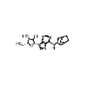 CN1C2CCC1CC(Nc1ncnc3c1ncn3[C@@H]1O[C@H](CO)C(O)C1O)C2